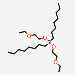 CCCCCCCC[Si](CCCCCCCC)(OCCOCC)OCCOCC